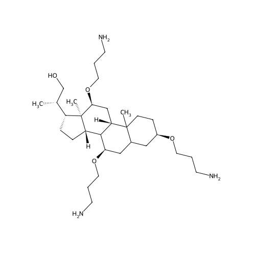 C[C@H](CO)[C@H]1CC[C@H]2C3[C@H](OCCCN)CC4C[C@H](OCCCN)CCC4(C)[C@H]3C[C@H](OCCCN)[C@]12C